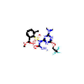 COC(=O)c1cccc(C)c1S(=O)(=O)N(C(N)=O)c1nc(OCC(F)(F)F)nc(N(C)C)n1